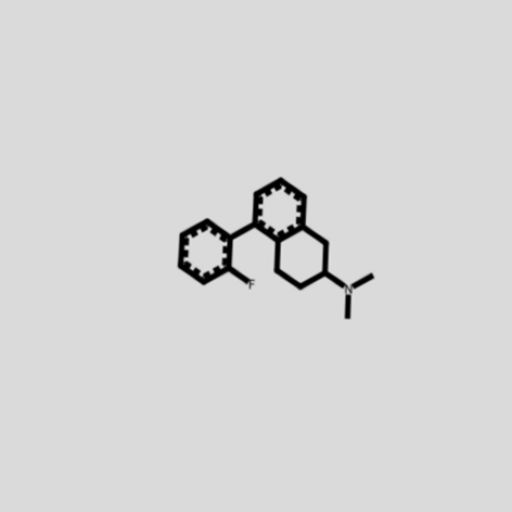 CN(C)C1CCc2c(cccc2-c2ccccc2F)C1